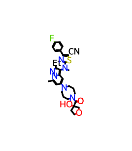 CCc1nn2c(C)cc(N3CCCN(C(=O)C4(O)CCOC4)CCC3)cc2c1N(C)c1nc(-c2ccc(F)cc2)c(C#N)s1